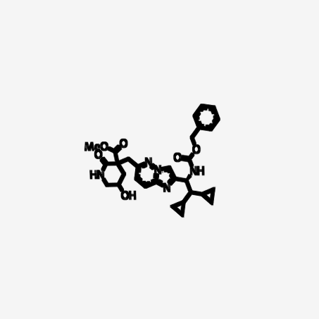 COC(=O)C1(Cc2ccc3nc([C@@H](NC(=O)OCc4ccccc4)C(C4CC4)C4CC4)cn3n2)CC(O)CNC1=O